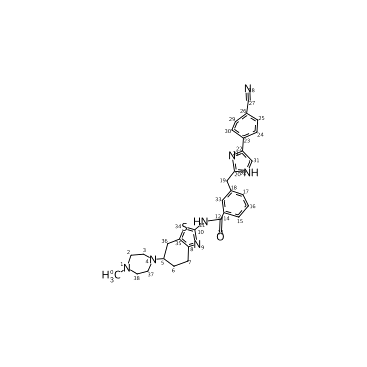 CN1CCN(C2CCc3nc(NC(=O)c4cccc(Cc5nc(-c6ccc(C#N)cc6)c[nH]5)c4)sc3C2)CC1